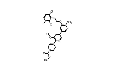 CCOc1cc(-c2cnc(N)c(OCCc3c(Cl)ccc(F)c3Cl)c2)cnc1C1=CCN(C(=O)OC(C)(C)C)CC1